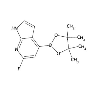 CC1(C)OB(c2cc(F)nc3[nH]ccc23)OC1(C)C